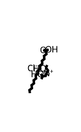 CC(O)C[N+](C)(C)CC(C)O.CCCCCCCCCCCCCCCCCC(=O)O.[Cl-]